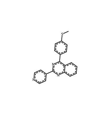 CSc1ccc(-c2nc(-c3ccncc3)nc3ccccc23)cc1